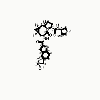 O=C(N[C@H]1C[C@@H]2C[C@@H]2C[C@H]2CC[C@@H](C(=O)N[C@H]3CNC[C@@H]3F)N2C1=O)c1cc2cc(CP(=O)(O)O)ccc2s1